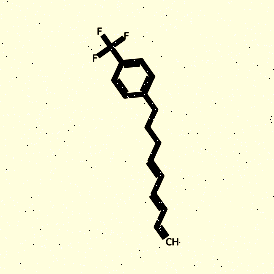 [CH]=CC=CC=CCCCc1ccc(C(F)(F)F)cc1